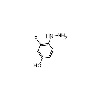 NNc1ccc(O)cc1F